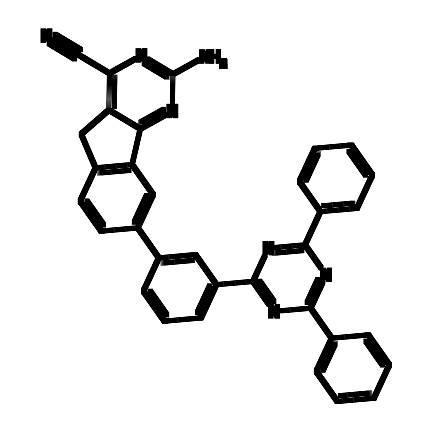 N#Cc1nc(N)nc2c1Cc1ccc(-c3cccc(-c4nc(-c5ccccc5)nc(-c5ccccc5)n4)c3)cc1-2